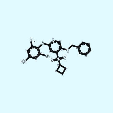 Bc1cc(C)c(Oc2cc(S(=O)(=O)C3CCC3)c(OCc3ccccc3)cn2)c(C)c1